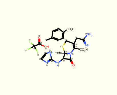 Cc1ccc(S(=O)(=O)O)cc1.N=C(N)CC1=C(C(=O)O)N2C(=O)C(Nc3ncc[nH]3)[C@@H]2SC1.O=C(O)C(F)(F)F